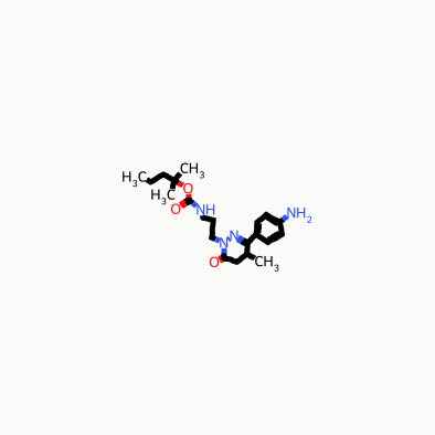 CCCC(C)(C)OC(=O)NCCCN1N=C(c2ccc(N)cc2)C(C)CC1=O